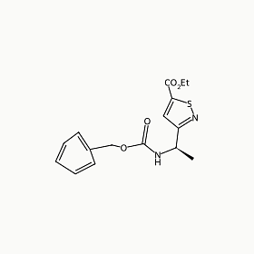 CCOC(=O)c1cc([C@@H](C)NC(=O)OCc2ccccc2)ns1